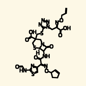 C=CCON=C(Cn1nnnc1SCC1(C(=O)O)CS[C@@H]2C(NC(=O)C(=NOC3C=CCC3)c3csc(NC=O)n3)C(=O)N2C1)C(=O)O